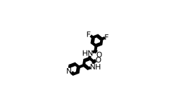 O=C(Nc1cc(-c2ccncc2)c[nH]c1=O)c1cc(F)cc(F)c1